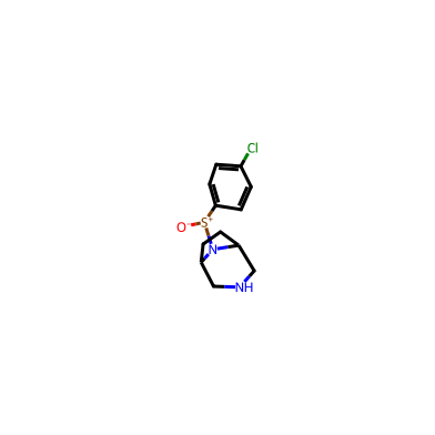 [O-][S+](c1ccc(Cl)cc1)N1C2CCC1CNC2